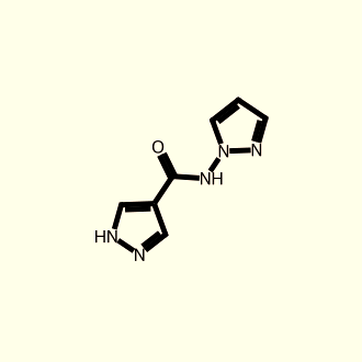 O=C(Nn1cccn1)c1cn[nH]c1